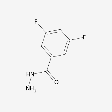 NNC(=O)c1cc(F)cc(F)c1